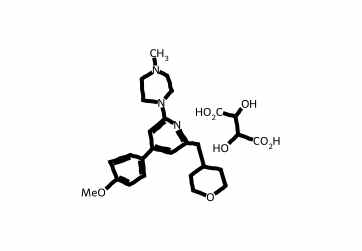 COc1ccc(-c2cc(CC3CCOCC3)nc(N3CCN(C)CC3)c2)cc1.O=C(O)C(O)C(O)C(=O)O